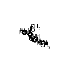 C=CC(=O)Nc1cc(Nc2nccc(-n3cc(CN4CCC4)c(C)n3)n2)c(OC)cc1N1CCC(F)(F)CC1